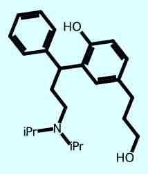 CC(C)N(CCC(c1ccccc1)c1cc(CCCO)ccc1O)C(C)C